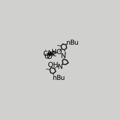 CC(=O)[O-].CC(=O)[O-].CCCCc1cc(C)c(O)c(C=Nc2cccc(N=Cc3cc(CCCC)cc(C)c3O)c2)c1.[Co+2]